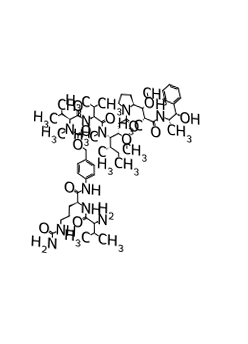 CC[C@H](C)[C@@H]([C@H](CC(=O)N1CCC[C@H]1[C@H](OC)[C@@H](C)C(=O)N[C@@H](C)[C@H](O)c1ccccc1)OC)N(C)C(=O)[C@@H](NC(=O)[C@H](C(C)C)N(C)C(=O)OCc1ccc(NC(=O)[C@H](CCCNC(N)=O)NC(=O)[C@@H](N)C(C)C)cc1)C(C)C